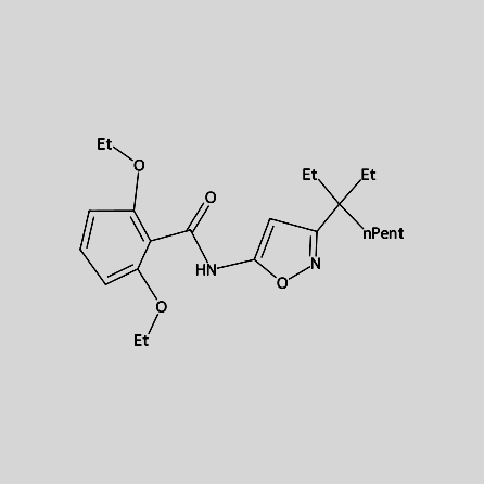 CCCCCC(CC)(CC)c1cc(NC(=O)c2c(OCC)cccc2OCC)on1